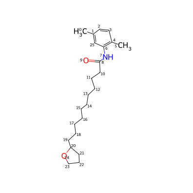 Cc1ccc(C)c(NC(=O)CCCCCCCCCCC2CCCO2)c1